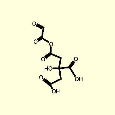 O=CC(=O)OC(=O)CC(O)(CC(=O)O)C(=O)O